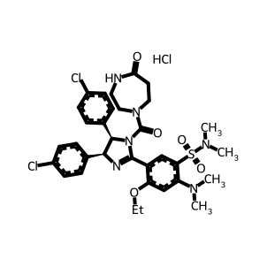 CCOc1cc(N(C)C)c(S(=O)(=O)N(C)C)cc1C1=N[C@@H](c2ccc(Cl)cc2)[C@@H](c2ccc(Cl)cc2)N1C(=O)N1CCNC(=O)CC1.Cl